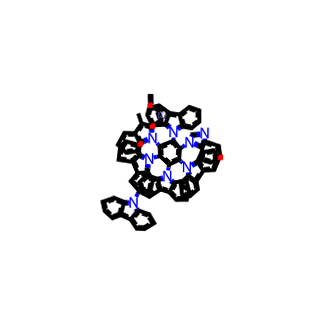 C=C/C=C\c1c(C)c2ccccc2n1-c1c(-n2c3ccccc3c3ccccc32)c(-n2cnc3ccccc32)c(-n2c3ccccc3c3ccccc32)c(-n2c3ccccc3c3ccccc32)c1-n1c2ccccc2c2cc(-n3c4ccccc4c4ccccc43)ccc21